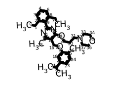 CCc1cccc(CC)c1-c1nc(C)c(COc2cc(C(C)C)ccc2C)c(OCCCN2CCOCC2)n1